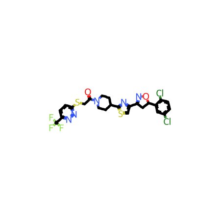 O=C(CSc1ccc(C(F)(F)F)nn1)N1CCC(c2nc(C3=NOC(c4cc(Cl)ccc4Cl)C3)cs2)CC1